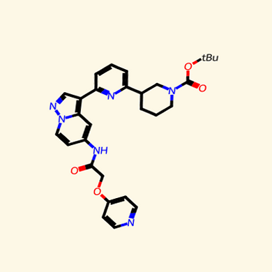 CC(C)(C)OC(=O)N1CCCC(c2cccc(-c3cnn4ccc(NC(=O)COc5ccncc5)cc34)n2)C1